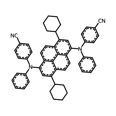 N#Cc1ccc(N(c2ccccc2)c2cc(C3CCCCC3)c3ccc4c(N(c5ccccc5)c5ccc(C#N)cc5)cc(C5CCCCC5)c5ccc2c3c54)cc1